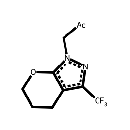 CC(=O)Cn1nc(C(F)(F)F)c2c1OCCC2